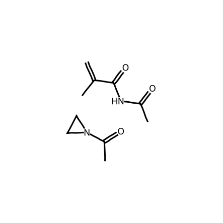 C=C(C)C(=O)NC(C)=O.CC(=O)N1CC1